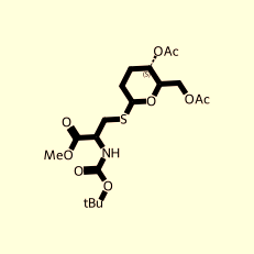 COC(=O)C(CSC1CC[C@H](OC(C)=O)C(COC(C)=O)O1)NC(=O)OC(C)(C)C